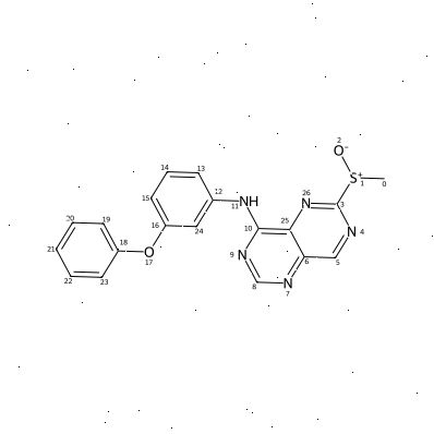 C[S+]([O-])c1ncc2ncnc(Nc3cccc(Oc4ccccc4)c3)c2n1